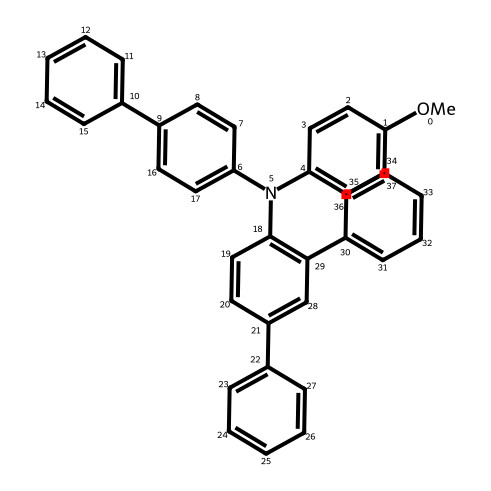 COc1ccc(N(c2ccc(-c3ccccc3)cc2)c2ccc(-c3ccccc3)cc2-c2ccccc2)cc1